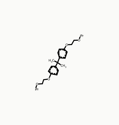 CC(C)OCCOc1ccc(C(C)(C)c2ccc(OCCOC(C)C)cc2)cc1